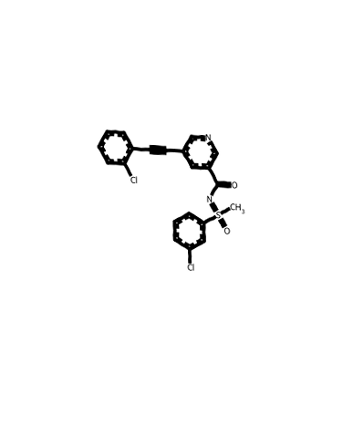 CS(=O)(=NC(=O)c1cncc(C#Cc2ccccc2Cl)c1)c1cccc(Cl)c1